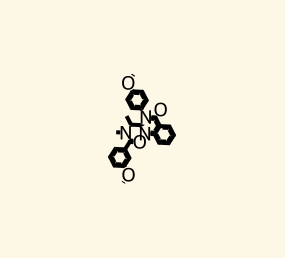 COc1ccc(-n2c(C(C)N(C)C(=O)c3cccc(OC)c3)nc3ccccc3c2=O)cc1